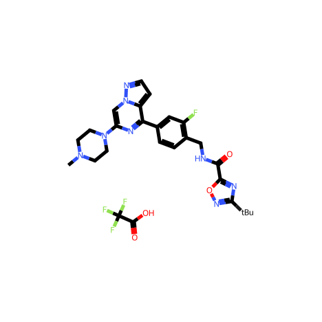 CN1CCN(c2cn3nccc3c(-c3ccc(CNC(=O)c4nc(C(C)(C)C)no4)c(F)c3)n2)CC1.O=C(O)C(F)(F)F